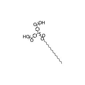 CCCCCCCCCCCCCCCCCCOC(=O)CSC(c1ccc(C(=O)C(C)(C)O)cc1)c1ccc(C(=O)C(C)(C)O)cc1